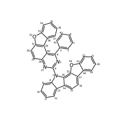 c1ccc(-c2nc(-n3c4ccccc4c4ccc5c6ccccc6oc5c43)nc3ccc4oc5ccccc5c4c23)cc1